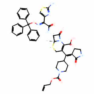 C=CCOC(=O)N1CCC(C(=C2CCNC2=O)C2=C(C(=O)O)N3C(=O)[C@@H](NC(=O)C(=NOC(c4ccccc4)(c4ccccc4)c4ccccc4)c4csc(N)n4)[C@H]3SC2)CC1